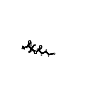 CCCCC(=O)OC(C)(C)C(=O)Br